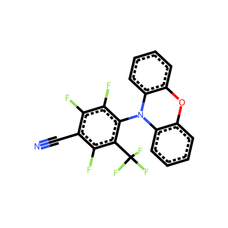 N#Cc1c(F)c(F)c(N2c3ccccc3Oc3ccccc32)c(C(F)(F)F)c1F